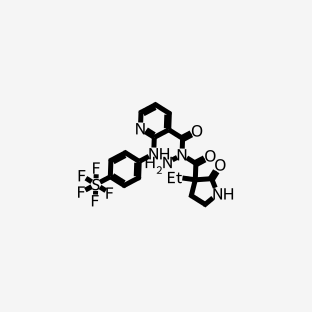 CCC1(C(=O)N(N)C(=O)c2cccnc2Nc2ccc(S(F)(F)(F)(F)F)cc2)CCNC1=O